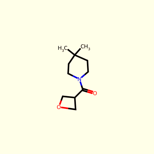 CC1(C)CCN(C(=O)C2COC2)CC1